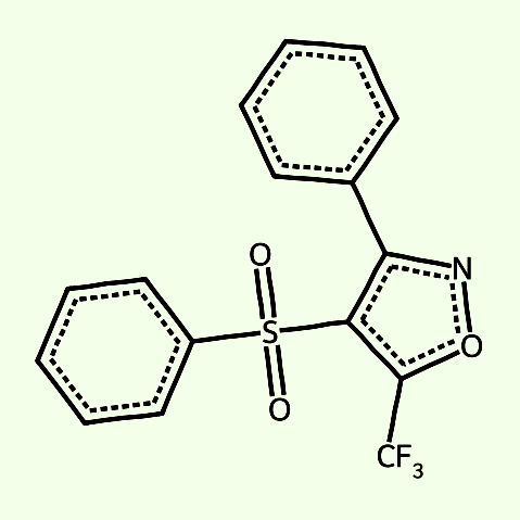 O=S(=O)(c1ccccc1)c1c(-c2ccccc2)noc1C(F)(F)F